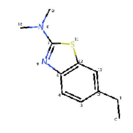 CCc1ccc2nc(N(C)C)sc2c1